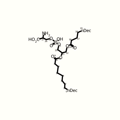 CCCCCCCCCCCCCCCCCC(=O)OC(COC(=O)CCCCCCCCCCCCC)COP(=O)(O)OCC(N)C(=O)O